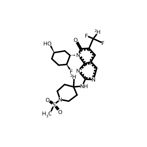 [2H]C1(Nc2ncc3cc(C([2H])(F)F)c(=O)n([C@H]4C[C@H](O)CC[C@@H]4F)c3n2)CCN(S(C)(=O)=O)CC1